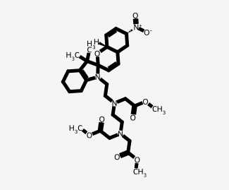 COC(=O)CN(CCN(CC(=O)OC)CC(=O)OC)CCN1C2=C(CCCC2)C(C)(C)C12C=CC1C[C@@H]([N+](=O)[O-])C=C[C@H]1O2